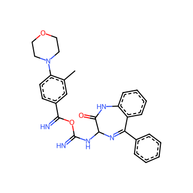 Cc1cc(C(=N)OC(=N)NC2N=C(c3ccccc3)c3ccccc3NC2=O)ccc1N1CCOCC1